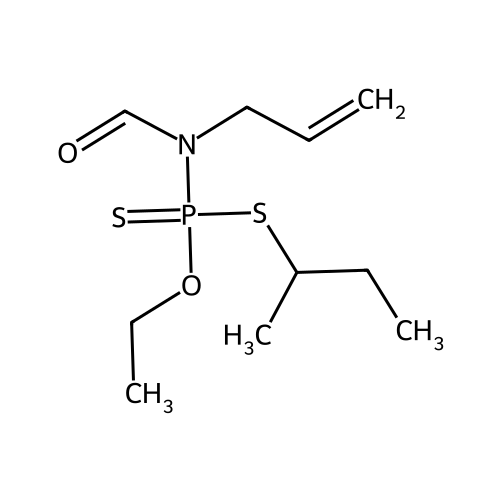 C=CCN(C=O)P(=S)(OCC)SC(C)CC